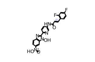 O=C(/C=C/c1ccc(F)cc1F)Nc1ccc(-c2nc3ccc([N+](=O)O)cc3n2O)nc1